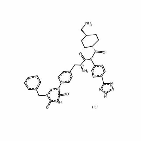 Cl.NC[C@H]1CC[C@H](C(=O)N(C(=O)[C@@H](N)Cc2ccc(-c3cn(Cc4ccccc4)c(=O)[nH]c3=O)cc2)c2ccc(-c3nn[nH]n3)cc2)CC1